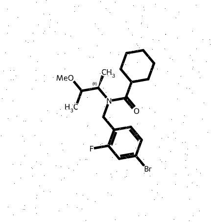 COC(C)[C@@H](C)N(Cc1ccc(Br)cc1F)C(=O)C1CCCCC1